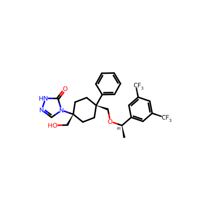 C[C@@H](OC[C@]1(c2ccccc2)CC[C@@](CO)(n2cn[nH]c2=O)CC1)c1cc(C(F)(F)F)cc(C(F)(F)F)c1